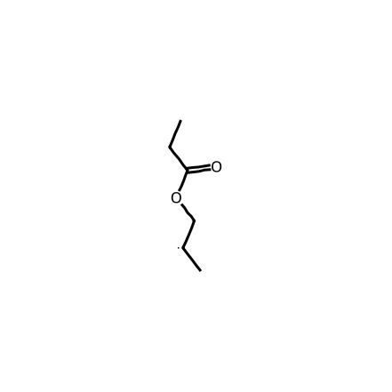 C[CH]COC(=O)CC